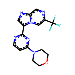 FC(F)(F)c1cn2c(-c3nccc(N4CCOCC4)n3)cnc2cn1